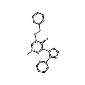 Cn1cc(OCc2ccccc2)c(=O)c(-c2ccnn2-c2ccccc2)n1